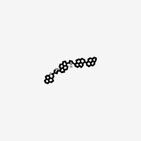 C=C(/C=c1/ccc2cccc3ccc(CC)c1c32)c1c[nH]c(-c2ccc3ccc4c(-c5ccc(-c6ccc7ccc8c(-c9ccc%10ccc%11cccc%12ccc9c%10c%11%12)ccc9ccc6c7c98)[nH]5)ccc5ccc2c3c54)c1